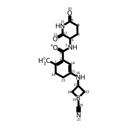 CC1=C(C(=O)NC2CCC(=O)NC2=O)C=C(NC2CB(C#N)C2)CC1